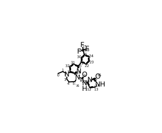 CCN1CC[C@@H](C)N(C(=O)Nc2cc[nH]c(=O)n2)c2nc(-c3cccc(C(F)(F)F)c3)ccc21